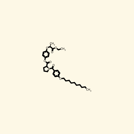 CCCCCCCCCCOc1ccc(C(=O)N2CCCC2C(=O)Oc2ccc(O[C@@H](C)C(=O)OCC)cc2)cc1